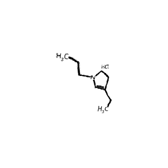 CCCN1C=C(CC)CC1.Cl